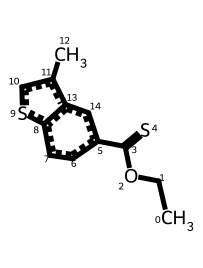 CCOC(=S)c1ccc2scc(C)c2c1